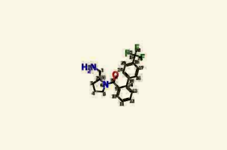 NC[C@@H]1CCCN1C(=O)c1ccccc1-c1ccc(C(F)(F)F)cc1